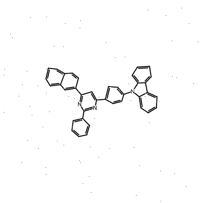 c1ccc(-c2nc(-c3ccc(-n4c5ccccc5c5ccccc54)cc3)cc(-c3ccc4ccccc4c3)n2)cc1